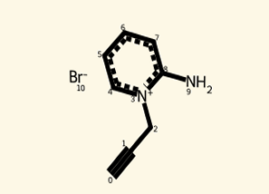 C#CC[n+]1ccccc1N.[Br-]